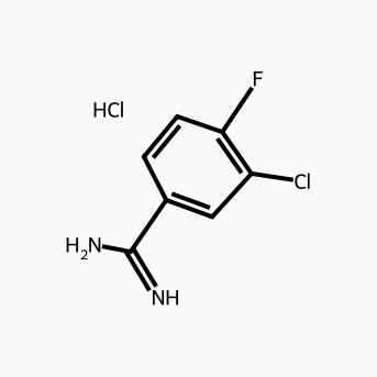 Cl.N=C(N)c1ccc(F)c(Cl)c1